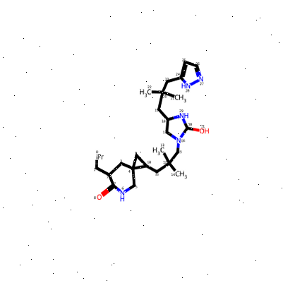 CC(C)CC1CC2(CNC1=O)CC2CC(C)(C)CN1CC(CC(C)(C)Cc2ccn[nH]2)NC1O